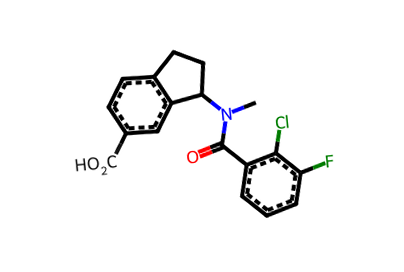 CN(C(=O)c1cccc(F)c1Cl)C1CCc2ccc(C(=O)O)cc21